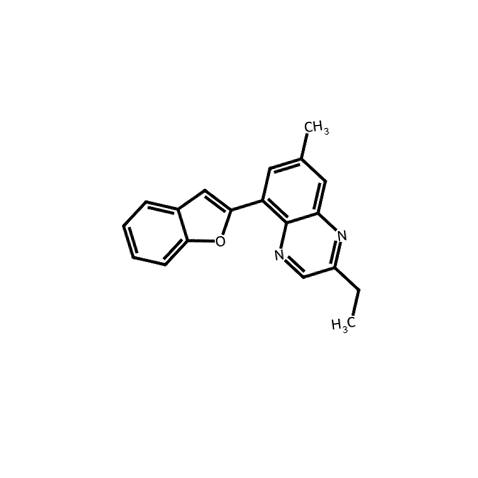 CCc1cnc2c(-c3cc4ccccc4o3)cc(C)cc2n1